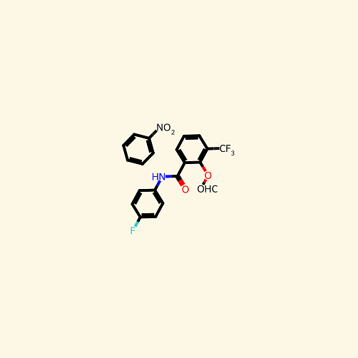 O=COc1c(C(=O)Nc2ccc(F)cc2)cccc1C(F)(F)F.O=[N+]([O-])c1ccccc1